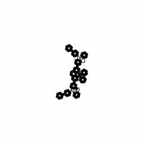 c1ccc(-c2ccc(N3c4ccccc4Oc4cc(-c5cc6c7c(ccc8cc(-c9ccc%10c(c9)Oc9ccccc9N%10c9ccc(-c%10ccccc%10)cc9)cc(c87)C6(c6ccccc6)c6ccccc6)c5)ccc43)cc2)cc1